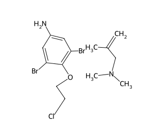 C=C(C)CN(C)C.Nc1cc(Br)c(OCCCl)c(Br)c1